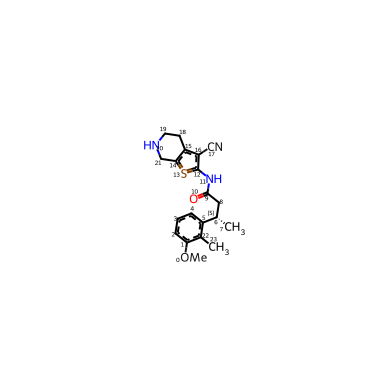 COc1cccc([C@@H](C)CC(=O)Nc2sc3c(c2C#N)CCNC3)c1C